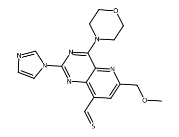 COCc1cc(C=S)c2nc(-n3ccnc3)nc(N3CCOCC3)c2n1